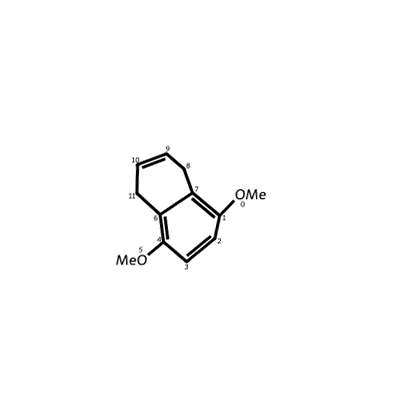 COc1ccc(OC)c2c1CC=CC2